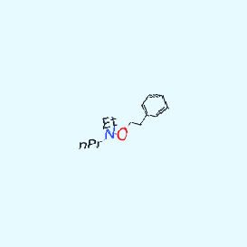 CCCN(CC)OCCc1ccccc1